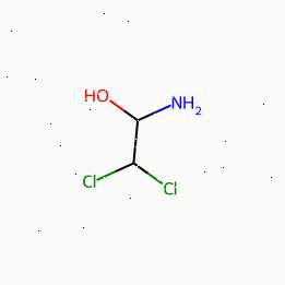 NC(O)C(Cl)Cl